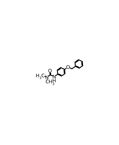 CN(C)C(=O)Nc1ccc(OCc2ccccc2)cc1